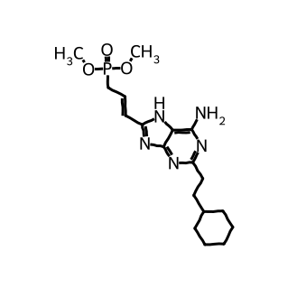 COP(=O)(CC=Cc1nc2nc(CCC3CCCCC3)nc(N)c2[nH]1)OC